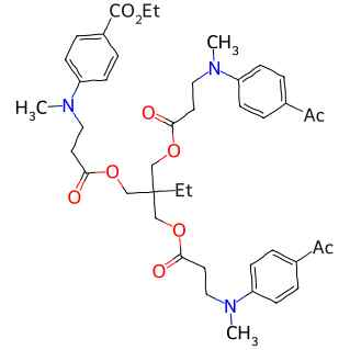 CCOC(=O)c1ccc(N(C)CCC(=O)OCC(CC)(COC(=O)CCN(C)c2ccc(C(C)=O)cc2)COC(=O)CCN(C)c2ccc(C(C)=O)cc2)cc1